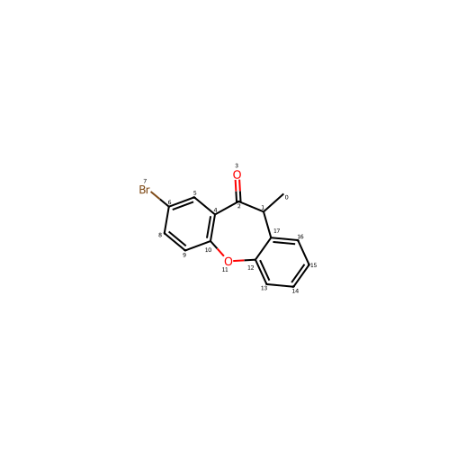 CC1C(=O)c2cc(Br)ccc2Oc2ccccc21